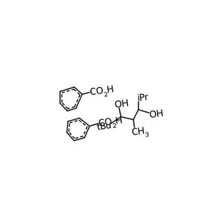 CC(C)C(O)C(C)C(O)C(C)(C)C.O=C(O)c1ccccc1.O=C(O)c1ccccc1